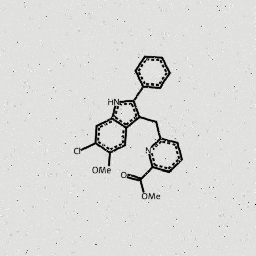 COC(=O)c1cccc(Cc2c(-c3ccccc3)[nH]c3cc(Cl)c(OC)cc23)n1